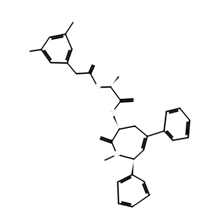 C[C@H](NC(=O)Cc1cc(F)cc(F)c1)C(=O)N[C@H]1CC(c2ccccc2)=C[C@@H](c2ccccc2)N(C)C1=O